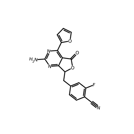 N#Cc1ccc(CC2OC(=O)c3c(-c4ccco4)nc(N)nc32)cc1F